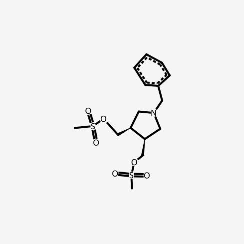 CS(=O)(=O)OC[C@@H]1CN(Cc2ccccc2)C[C@@H]1COS(C)(=O)=O